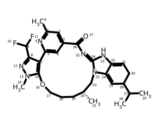 Cc1cc2cc(n1)-c1c(C(F)F)nn(C)c1OCCC[C@@H](C)CN1C3=CC(C(C)C)CC=C3N/C1=N\C2=O